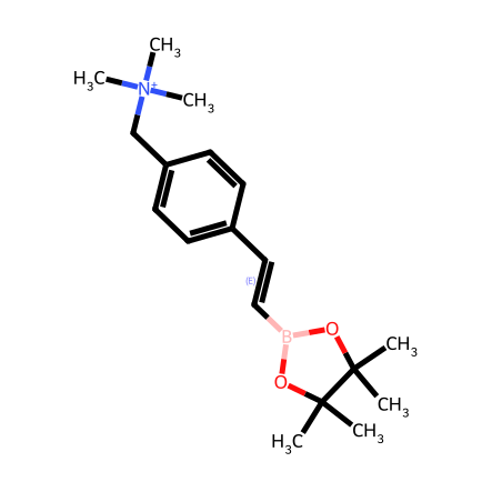 CC1(C)OB(/C=C/c2ccc(C[N+](C)(C)C)cc2)OC1(C)C